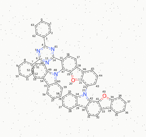 c1ccc(-c2nc(-c3ccccc3)nc(-c3ccc4c(oc5c(-n6c7ccccc7c7ccc8c9ccccc9oc8c76)cccc54)c3-n3c4ccccc4c4ccccc43)n2)cc1